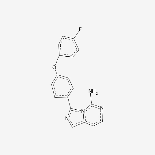 Nc1nccc2cnc(-c3ccc(Oc4ccc(F)cc4)cc3)n12